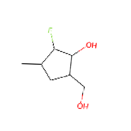 CC1CC(CO)C(O)C1F